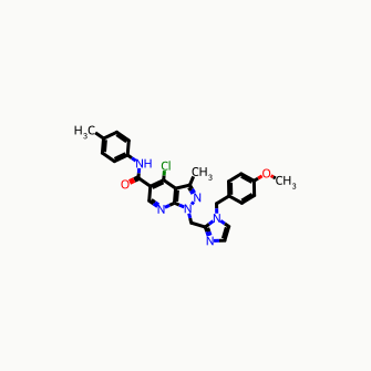 COc1ccc(Cn2ccnc2Cn2nc(C)c3c(Cl)c(C(=O)Nc4ccc(C)cc4)cnc32)cc1